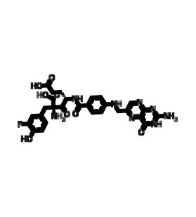 Nc1nc2ncc(CNc3ccc(C(=O)N[C@@H](CCC(=O)O)C(=O)[C@](N)(Cc4ccc(O)c(F)c4)C(=O)O)cc3)nc2c(=O)[nH]1